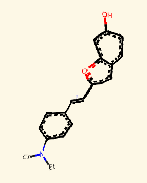 CCN(CC)c1ccc(/C=C/c2cc3ccc(O)cc3o2)cc1